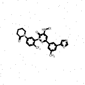 CCNc1cc(-c2cc(C)cc(-c3cnco3)c2)nn(-c2cc(N3CCCCC3=O)ccc2C(F)(F)F)c1=O